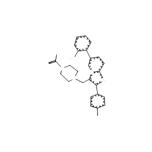 CCC(=O)N1CCN(Cc2c(-c3ccc(Cl)cc3)nc3ccc(-c4ccccc4C#N)cn23)CC1